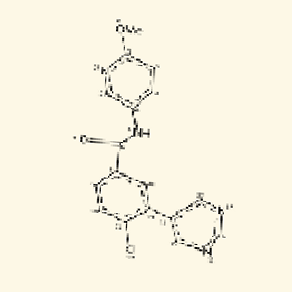 COc1ccc(NC(=O)c2ccc(Cl)c(-c3cncnc3)c2)cn1